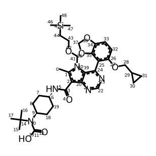 Cc1c(C(=O)N[C@H]2CC[C@H](N(C(=O)O)C(C)(C)C)CC2)c2ncnc(-c3c(OCC4CC4)ccc4c3OCO4)c2n1COCC[Si](C)(C)C